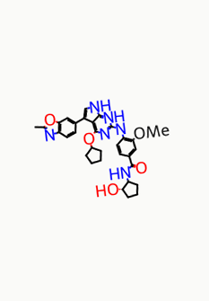 COc1cc(C(=O)NC2CCC[C@@H]2O)ccc1Nc1nc(OC2CCCC2)c2c(-c3ccc4nc(C)oc4c3)c[nH]c2n1